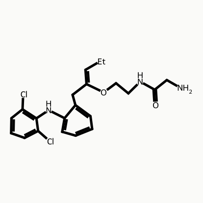 CCC=C(Cc1ccccc1Nc1c(Cl)cccc1Cl)OCCNC(=O)CN